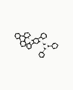 c1ccc(-c2nc(-c3ccccc3)nc(-n3c4ccccc4c4cc5c(cc43)c3ccccc3n5-c3cccc4c5ccccc5c5ccccc5c34)n2)cc1